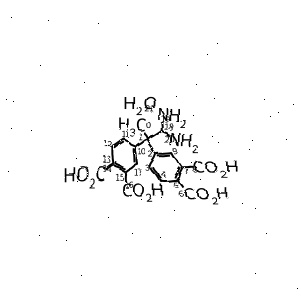 CC(c1ccc(C(=O)O)c(C(=O)O)c1)(c1ccc(C(=O)O)c(C(=O)O)c1)C(N)N.O